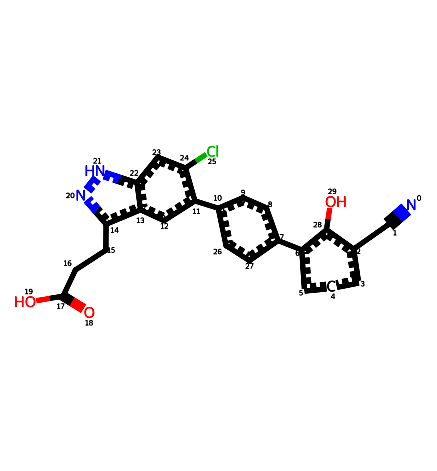 N#Cc1cccc(-c2ccc(-c3cc4c(CCC(=O)O)n[nH]c4cc3Cl)cc2)c1O